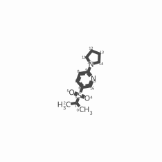 CC(C)S(=O)(=O)c1ccc(N2CCCC2)nc1